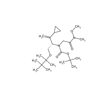 C=C(C1CC1)[C@@H](CO[Si](C)(C)C(C)(C)C)N(CC(=O)N(C)OC)C(=O)OC(C)(C)C